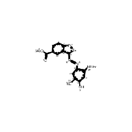 COC(=O)c1ccc2nsc(/N=N/c3cc(C#N)c(O)cc3NC(C)=O)c2c1